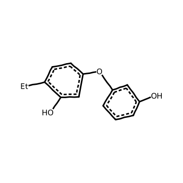 CCc1ccc(Oc2cccc(O)c2)cc1O